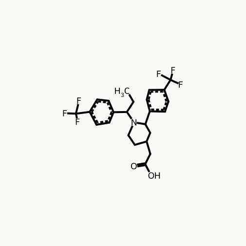 CCC(c1ccc(C(F)(F)F)cc1)N1CCC(CC(=O)O)CC1c1ccc(C(F)(F)F)cc1